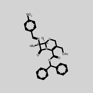 CCCC[C@]1(N=Cc2ccc([N+](=O)[O-])cc2)C(=O)N2C(C(=O)OC(c3ccccc3)c3ccccc3)=C(COC(C)=O)CS[C@@H]21